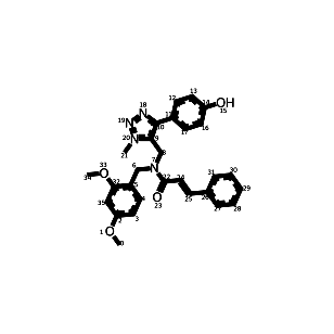 COc1ccc(CN(Cc2c(-c3ccc(O)cc3)nnn2C)C(=O)/C=C/c2ccccc2)c(OC)c1